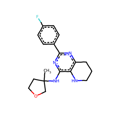 CC1(Nc2nc(-c3ccc(F)cc3)nc3c2NCCC3)CCOC1